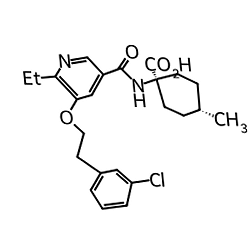 CCc1ncc(C(=O)N[C@]2(C(=O)O)CC[C@@H](C)CC2)cc1OCCc1cccc(Cl)c1